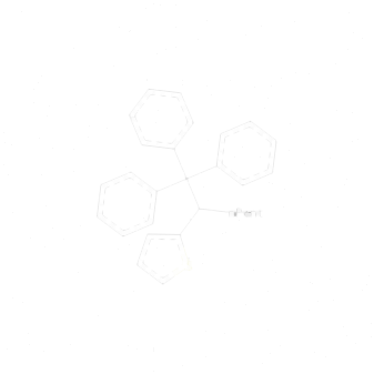 CCCCCC(c1cccs1)C(c1ccccc1)(c1ccccc1)c1ccccc1